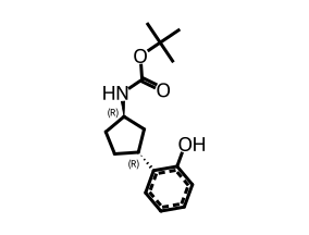 CC(C)(C)OC(=O)N[C@@H]1CC[C@@H](c2ccccc2O)C1